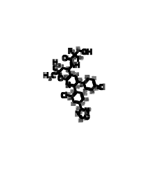 CC1(C)C[C@@H](NC(=O)C(F)(F)CO)c2cc(-c3ccc(Cl)cc3)c(-c3ccc(-c4ncon4)cc3Cl)nc2O1